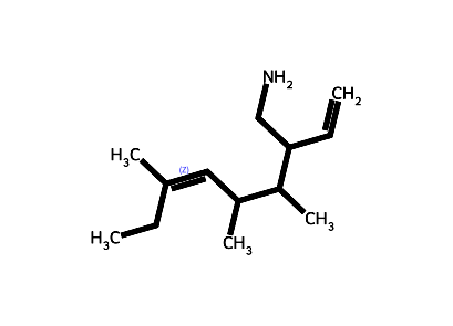 C=CC(CN)C(C)C(C)/C=C(/C)CC